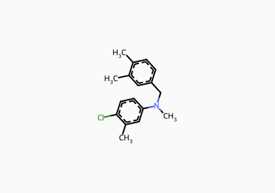 Cc1ccc(CN(C)c2ccc(Cl)c(C)c2)cc1C